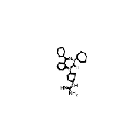 N=C(N)Nc1ccc(N2C(=O)N(C3CCCCCC3)N=C(C3CCCCC3)c3ccccc32)cc1